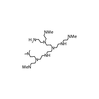 CNCCNCCN(CCNCCN(CCNC)CCN(C)C)CCN(CCN)CCNC